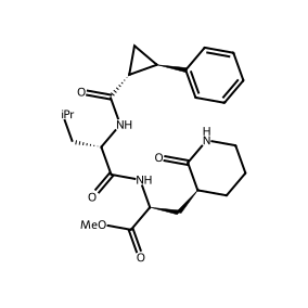 COC(=O)[C@H](C[C@@H]1CCCNC1=O)NC(=O)[C@H](CC(C)C)NC(=O)[C@@H]1C[C@H]1c1ccccc1